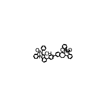 CC1=C2C(CCc3cc(-c4ccc(-c5cccc6c5c(C)c5n(-c7ccccc7)c(=O)c7ccccc7n65)cc4)ccc31)c1ccccc1C(=O)N2c1ccccc1